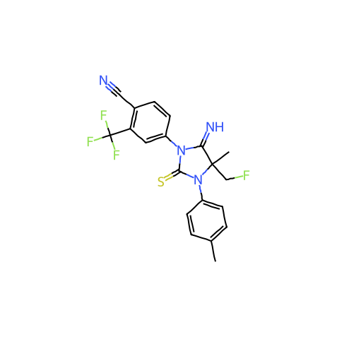 Cc1ccc(N2C(=S)N(c3ccc(C#N)c(C(F)(F)F)c3)C(=N)C2(C)CF)cc1